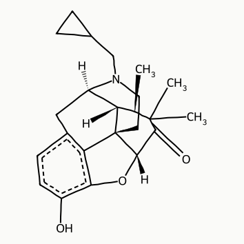 C[C@@H]1[C@H]2[C@H]3Cc4ccc(O)c5c4[C@@]2(CCN3CC2CC2)[C@@H](O5)C(=O)C1(C)C